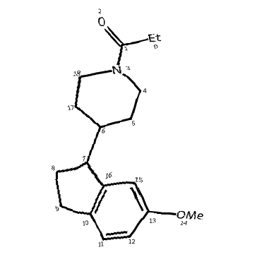 CCC(=O)N1CCC(C2CCc3ccc(OC)cc32)CC1